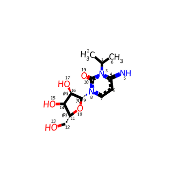 CC(C)n1c(=N)ccn([C@@H]2O[C@H](CO)C(O)[C@H]2O)c1=O